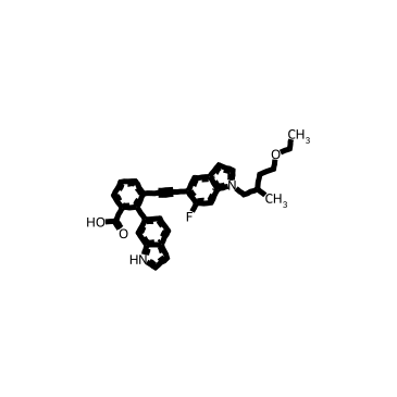 CCOCCC(C)Cn1ccc2cc(C#Cc3cccc(C(=O)O)c3-c3ccc4cc[nH]c4c3)c(F)cc21